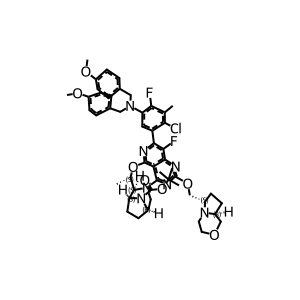 COc1ccc(CN(Cc2ccc(OC)cc2)c2cc(-c3nc4c5c(nc(OC[C@@H]6CC[C@H]7COCCN76)nc5c3F)N3C[C@H]5CC[C@@H]([C@H]3[C@H](C)O4)N5C(=O)OC(C)(C)C)c(Cl)c(C)c2F)cc1